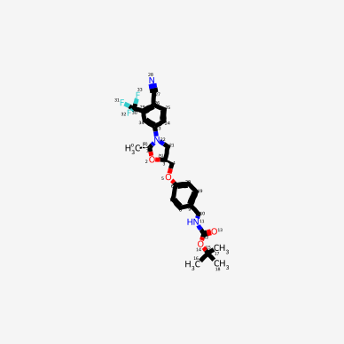 C[C@H]1O[C@H](COc2ccc(CNC(=O)OC(C)(C)C)cc2)CN1c1ccc(C#N)c(C(F)(F)F)c1